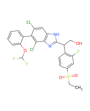 CCS(=O)(=O)c1ccc(C(CO)c2nc3c(Cl)c(-c4ccccc4OC(F)F)c(Cl)cc3[nH]2)c(F)c1